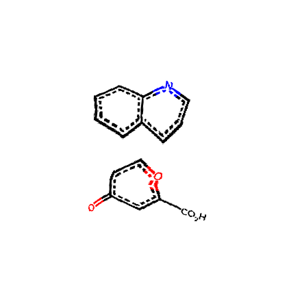 O=C(O)c1cc(=O)cco1.c1ccc2ncccc2c1